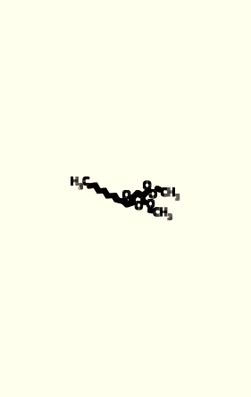 CCCCCCC=Cc1ccc(C=C(C(=O)OCC)C(=O)OCC)o1